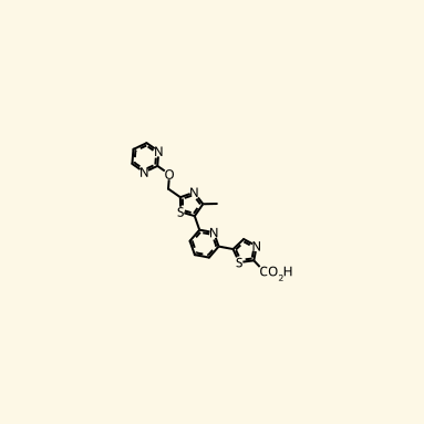 Cc1nc(COc2ncccn2)sc1-c1cccc(-c2cnc(C(=O)O)s2)n1